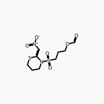 O=COCCCS(=O)(=O)N1CCCS/C1=C\[N+](=O)[O-]